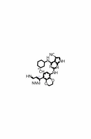 CN/C(=C\C=N)c1ccc(Nc2nc(NC3CCC[C@@H](C)C3)c3c(C#N)c[nH]c3n2)c2c1OCCO2